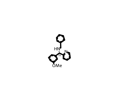 COc1cccc([C@H](NCc2ccccc2)c2ccccn2)c1